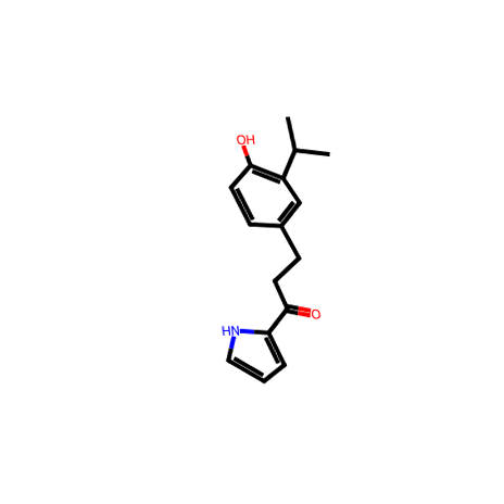 CC(C)c1cc(CCC(=O)c2ccc[nH]2)ccc1O